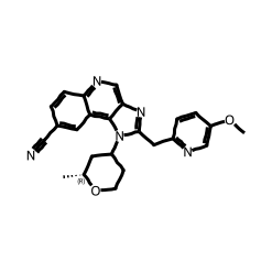 COc1ccc(Cc2nc3cnc4ccc(C#N)cc4c3n2C2CCO[C@H](C)C2)nc1